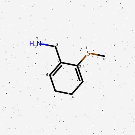 CSC1=CCCC=C1CN